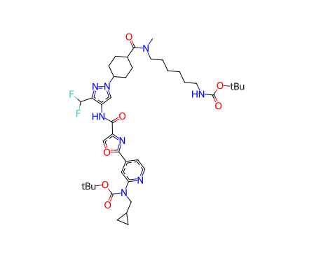 CN(CCCCCCNC(=O)OC(C)(C)C)C(=O)C1CCC(n2cc(NC(=O)c3coc(-c4ccnc(N(CC5CC5)C(=O)OC(C)(C)C)c4)n3)c(C(F)F)n2)CC1